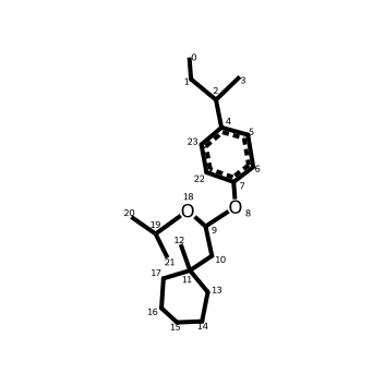 CCC(C)c1ccc(OC(CC2(C)CCCCC2)OC(C)C)cc1